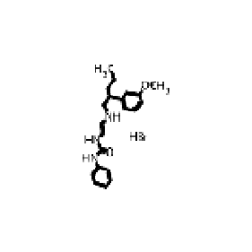 Br.CCCC(CNCCNC(=O)Nc1ccccc1)c1cccc(OC)c1